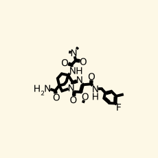 COc1c(C(=O)NCc2ccc(F)c(C)c2)nc2n(c1=O)CC1(C(N)=O)CCC2(NC(=O)C(=O)N(C)C)CC1